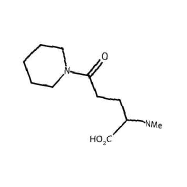 CNC(CCC(=O)N1CCCCC1)C(=O)O